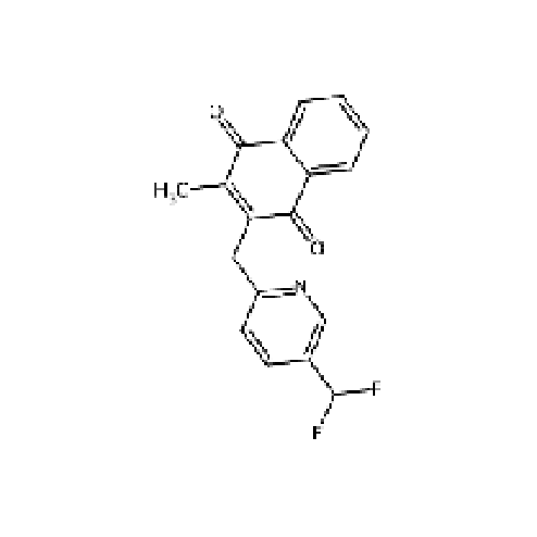 CC1=C(Cc2ccc(C(F)F)cn2)C(=O)c2ccccc2C1=O